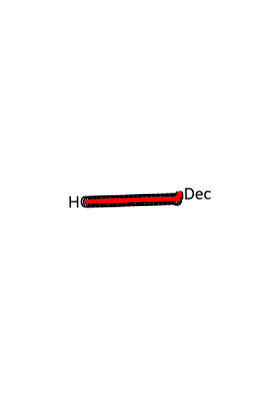 CCCCCCCCCCCCCCCCCC(=O)OCCOCCOCCOCCOCCOCCOCCOCCOCCOCCOCCOCCOCCOCCOCCOCCOCCOCCOCCOCCOCCOCCOCCOCCOCCOCCOCCOCCOCCOCCOCCOCCOCCOCCOCCOCCOCCOCCOCCOCCO